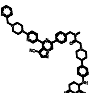 CN(Cc1ccc(-c2cn3ncc(C#N)c3c(-c3ccc(N4CCN(Cc5ccccn5)CC4)nc3)n2)cc1)C(=O)CN1CCC(c2ccc(NC3CCC(=O)NC3=O)cc2)CC1